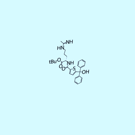 CC(=N)NCCC[C@H](NC(=O)c1ccc(C(O)(c2ccccc2)c2ccccc2)s1)C(=O)OC(C)(C)C